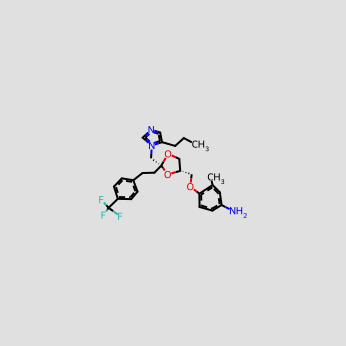 CCCc1cncn1C[C@]1(CCc2ccc(C(F)(F)F)cc2)OC[C@H](COc2ccc(N)cc2C)O1